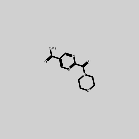 COC(=O)c1cnc(C(=O)N2CCOCC2)nc1